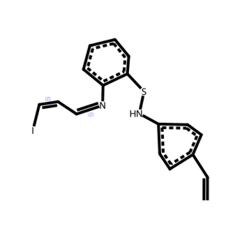 C=Cc1ccc(NSc2ccccc2/N=C\C=C/I)cc1